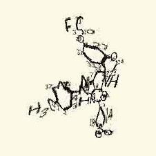 Cc1ccc(-n2nc3c(c2NC(=O)C2CS(=O)(=O)C2)C(=O)N[C@@]2(CCOc4cc(OCC(F)(F)F)ccc42)C3)nc1